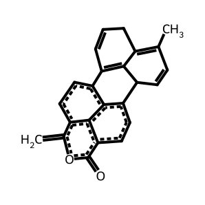 C=c1oc(=O)c2ccc3c4c(ccc1c42)C1=C2C(=C(C)C=CC23)CC=C1